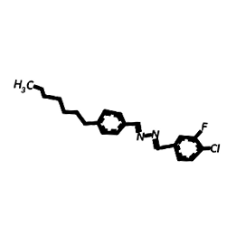 CCCCCCCc1ccc(C=NN=Cc2ccc(Cl)c(F)c2)cc1